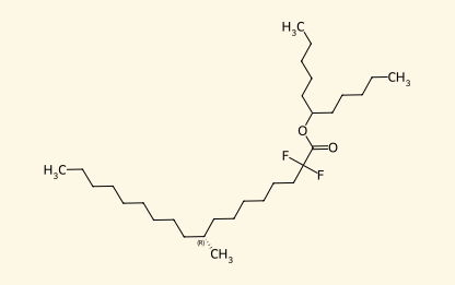 CCCCCCCCC[C@@H](C)CCCCCCC(F)(F)C(=O)OC(CCCCC)CCCCC